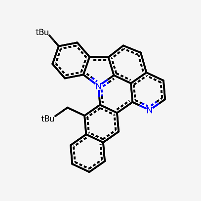 CC(C)(C)Cc1c2ccccc2cc2c3nccc4ccc5c6cc(C(C)(C)C)ccc6n(c12)c5c43